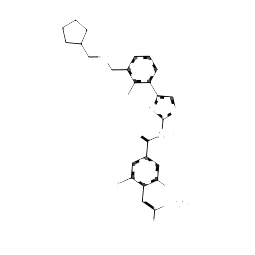 CO/C(=C\c1c(Cl)cc(C(=O)Nc2nc(-c3cccc(COCC4CCCC4)c3C)cs2)cc1Cl)C(=O)O